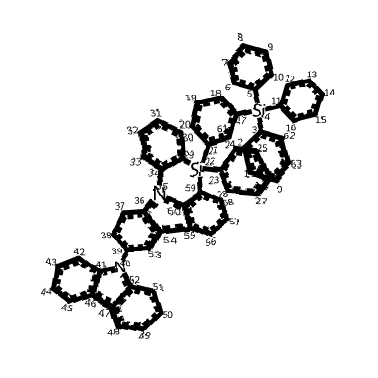 c1ccc([Si](c2ccccc2)(c2ccccc2)c2cccc([Si]3(c4ccccc4)c4ccccc4-n4c5ccc(-n6c7ccccc7c7ccccc76)cc5c5cccc3c54)c2)cc1